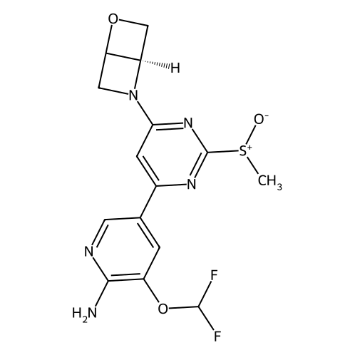 C[S+]([O-])c1nc(-c2cnc(N)c(OC(F)F)c2)cc(N2CC3OC[C@H]32)n1